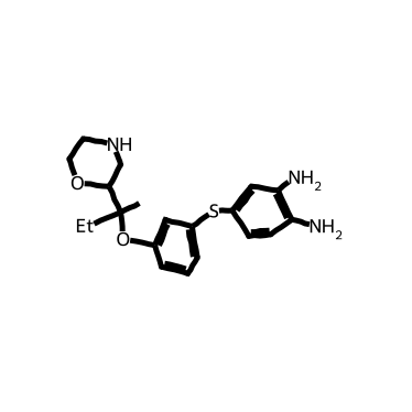 CCC(C)(Oc1cccc(Sc2ccc(N)c(N)c2)c1)C1CNCCO1